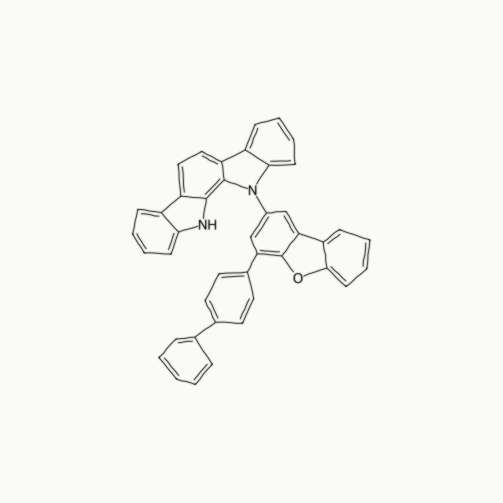 c1ccc(-c2ccc(-c3cc(-n4c5ccccc5c5ccc6c7ccccc7[nH]c6c54)cc4c3oc3ccccc34)cc2)cc1